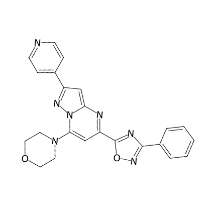 c1ccc(-c2noc(-c3cc(N4CCOCC4)n4nc(-c5ccncc5)cc4n3)n2)cc1